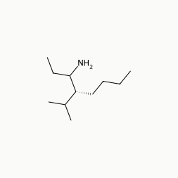 CCCC[C@H](C(C)C)C(N)CC